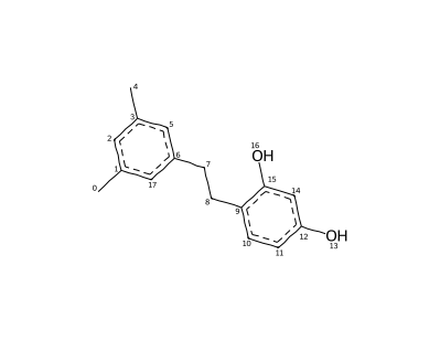 Cc1cc(C)cc(CCc2ccc(O)cc2O)c1